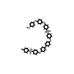 COc1ccc(Sc2ccc(Oc3ccc(S(=O)(=O)c4ccc(Sc5ccc(-c6ccc(Sc7ccc(S(=O)(=O)c8ccc(C)cc8)cc7)cc6)cc5)cc4)cc3)cc2)cc1